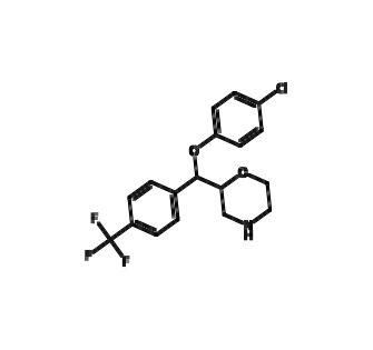 FC(F)(F)c1ccc(C(Oc2ccc(Cl)cc2)C2CNCCO2)cc1